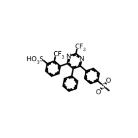 CS(=O)(=O)c1ccc(-c2nc(C(F)(F)F)nc(-c3cccc(S(=O)(=O)O)c3C(F)(F)F)c2-c2ccccc2)cc1